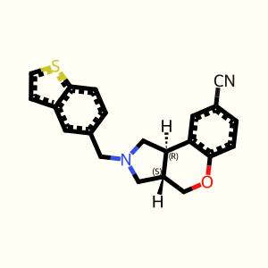 N#Cc1ccc2c(c1)[C@@H]1CN(Cc3ccc4sccc4c3)C[C@H]1CO2